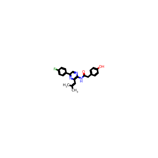 CC(C)=Cc1nc(-c2ccc(F)cc2)cnc1NC(=O)Cc1ccc(O)cc1